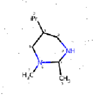 CC(C)C1CNC(C)N(C)C1